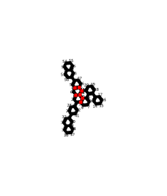 c1ccc(-c2ccccc2-c2c(-c3ccccc3)cccc2N(c2ccc(-c3ccc(-c4ccc5ccccc5c4)cc3)cc2)c2ccc(-c3ccc4ccccc4c3)cc2)cc1